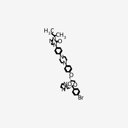 CCC(C)n1ncn(-c2ccc(N3CCN(c4ccc(OC[C@@H]5CO[C@@](Cn6nccn6)(c6ccc(Br)cc6)O5)cc4)CC3)cc2)c1=O